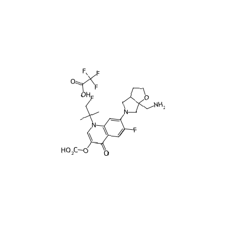 CC(C)(CF)n1cc(OC(=O)O)c(=O)c2cc(F)c(N3CC4CCOC4(CN)C3)cc21.O=C(O)C(F)(F)F